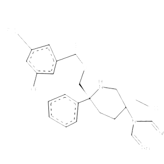 C[C@H](OC[C@]1(c2ccccc2)CC[C@](CO)(N(C=N)C=N)CN1)c1cc(C(F)(F)F)cc(C(F)(F)F)c1